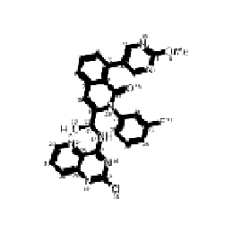 COc1ncc(-c2cccc3cc([C@H](C)Nc4nc(Cl)nc5cccnc45)n(-c4cccc(F)c4)c(=O)c23)cn1